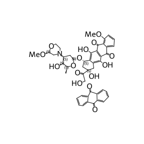 COc1cccc2c1C(=O)c1c(O)c3c(c(O)c1C2=O)C[C@@](O)(C(=O)CO)C[C@@H]3O[C@H]1C[C@H](N2CCO[C@H](OC)C2)[C@H](O)[C@H](C)O1.O=C1c2ccccc2C(=O)c2ccccc21